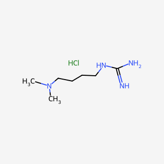 CN(C)CCCCNC(=N)N.Cl